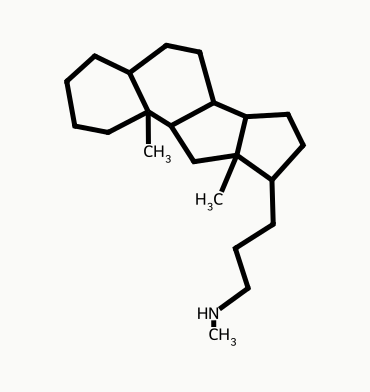 CNCCCC1CCC2C3CCC4CCCCC4(C)C3CC12C